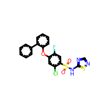 O=S(=O)(Nc1ncns1)c1cc(F)c(Oc2ccccc2-c2ccccc2)cc1Cl